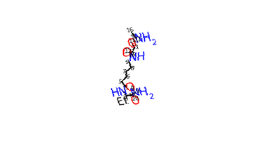 CC[C@H](NC(=O)CCCCCNC(=O)COC(C)N)C(N)=O